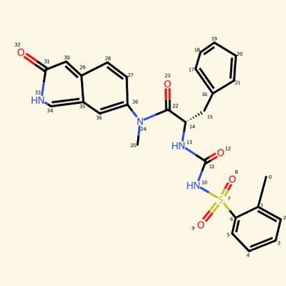 Cc1ccccc1S(=O)(=O)NC(=O)N[C@@H](Cc1ccccc1)C(=O)N(C)c1ccc2cc(=O)[nH]cc2c1